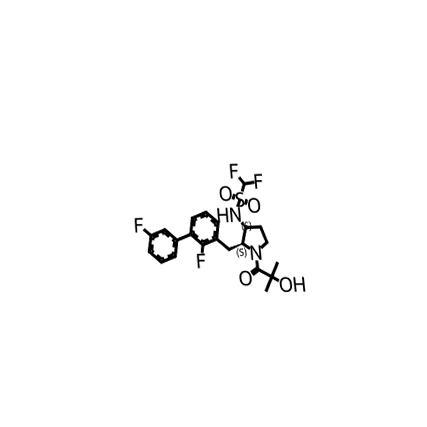 CC(C)(O)C(=O)N1CC[C@H](NS(=O)(=O)C(F)F)[C@@H]1Cc1cccc(-c2cccc(F)c2)c1F